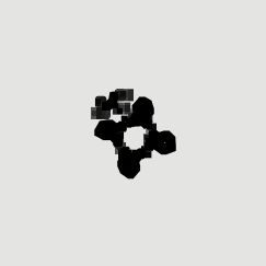 N[C@@H](CO)C(=O)O.c1ccc2c(c1)-c1nc-2nc2[nH]c(nc3nc(nc4[nH]c(n1)c1ccccc41)-c1ccccc1-3)c1ccccc21